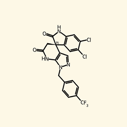 O=C1C[C@]2(C(=O)Nc3cc(Cl)c(Cl)cc32)c2cnn(Cc3ccc(C(F)(F)F)cc3)c2N1